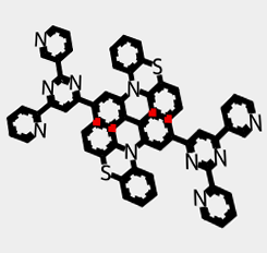 c1ccc(-c2cc(-c3ccc(-c4ccc(-c5cc(-c6cccnc6)nc(-c6ccccn6)n5)cc4N4c5ccccc5Sc5ccccc54)c(N4c5ccccc5Sc5ccccc54)c3)nc(-c3cccnc3)n2)nc1